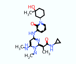 C=NN1C(NC)=CC(Nc2cccn([C@H]3CCC[C@@](C)(O)C3)c2=O)=N/C1=C(/C)C(=O)NC1CC1